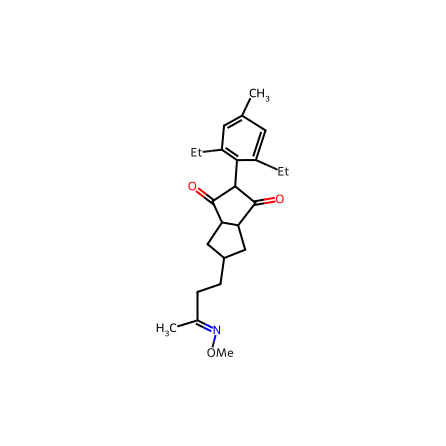 CCc1cc(C)cc(CC)c1C1C(=O)C2CC(CCC(C)=NOC)CC2C1=O